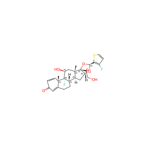 C[C@]12C=CC(=O)C=C1CC[C@H]1[C@@H]3C[C@H]4O[C@H](c5sccc5F)O[C@@]4(C(=O)CO)[C@@]3(C)C[C@H](O)[C@@]12F